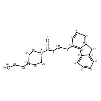 O=C(CSCc1cccc2c1-c1ccccc1C2)N1CCN(CCO)CC1